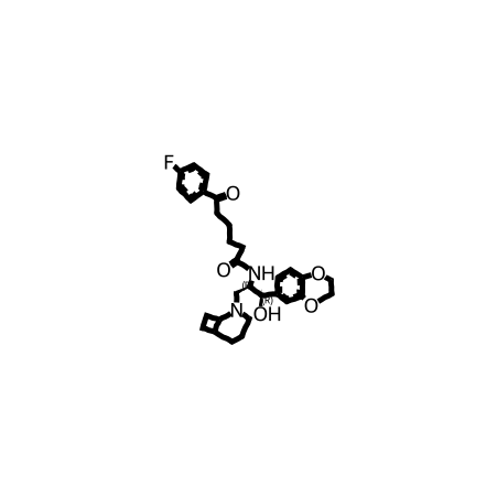 O=C(CCCCC(=O)c1ccc(F)cc1)N[C@H](CN1CCCC2CCC21)[C@H](O)c1ccc2c(c1)OCCO2